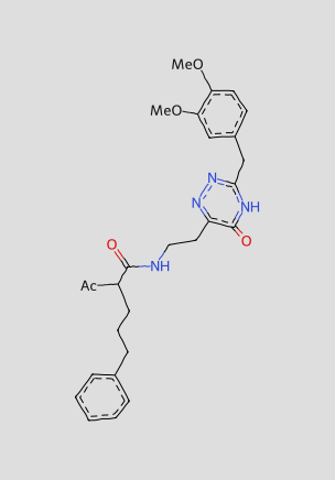 COc1ccc(Cc2nnc(CCNC(=O)C(CCCc3ccccc3)C(C)=O)c(=O)[nH]2)cc1OC